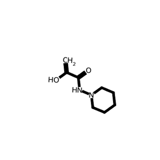 C=C(O)C(=O)NN1CCCCC1